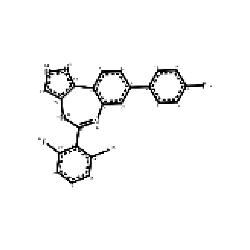 Fc1ccc(-c2ccc3c(c2)N=C(c2c(F)cccc2F)Nc2c[nH]nc2-3)cc1